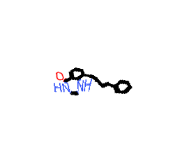 O=C1NCCNc2c(C#CCCc3ccccc3)cccc21